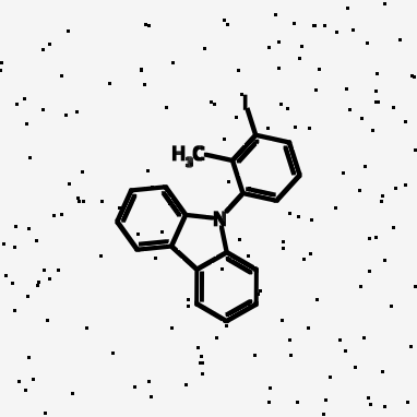 Cc1c(I)cccc1-n1c2ccccc2c2ccccc21